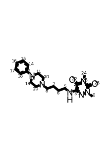 Cn1nc(NCCCCN2CCN(c3ccccc3)CC2)c(=O)n(C)c1=O